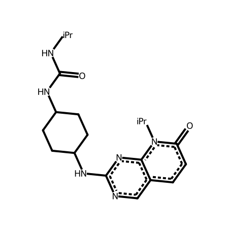 CC(C)NC(=O)NC1CCC(Nc2ncc3ccc(=O)n(C(C)C)c3n2)CC1